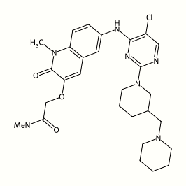 CNC(=O)COc1cc2cc(Nc3nc(N4CCCC(CN5CCCCC5)C4)ncc3Cl)ccc2n(C)c1=O